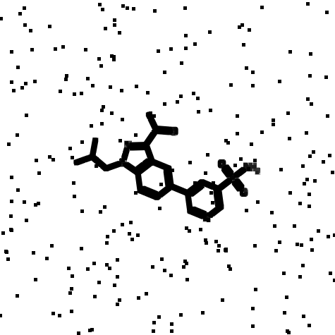 CC(=O)c1nn(CC(C)C)c2ccc(-c3cncc(S(N)(=O)=O)c3)cc12